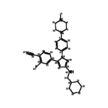 CN1CCN(c2ccc(-n3nc(NCC4CCCCC4)cc3-c3ccc(C#N)c(F)c3)cc2)CC1